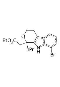 CCCC1(CC(=O)OCC)OCCc2c1[nH]c1c(Br)cccc21